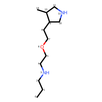 CCCNCCOCCC1CNCC1C